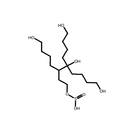 [O]=[Ti]([OH])[O]CCC(CCCCO)C(O)(CCCCO)CCCCO